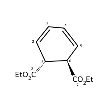 CCOC(=O)[C@@H]1C=CC=C[C@H]1C(=O)OCC